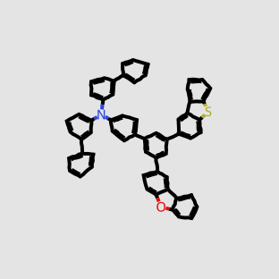 c1ccc(-c2cccc(N(c3ccc(-c4cc(-c5ccc6oc7ccccc7c6c5)cc(-c5ccc6sc7ccccc7c6c5)c4)cc3)c3cccc(-c4ccccc4)c3)c2)cc1